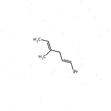 [CH2]/C=C(\C)C/C=C/C(C)C